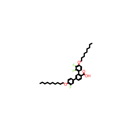 CCCCCCCCCCOc1ccc(-c2ccc(C(=O)O)c(-c3ccc(OCCCCCCCCC)c(F)c3F)c2)cc1F